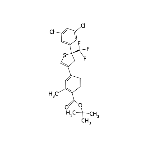 Cc1cc(C2=CS[C@@](c3cc(Cl)cc(Cl)c3)(C(F)(F)F)C2)ccc1C(=O)OC(C)(C)C